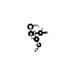 COC[C@H]1CCN(c2ccc(-n3c(-c4ccc(C#N)c(F)c4)nc4c(N5CCCC[C@@H](N)C5)ccnc43)c(F)c2)C1